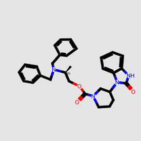 C[C@@H](COC(=O)N1CCCC(n2c(=O)[nH]c3ccccc32)C1)N(Cc1ccccc1)Cc1ccccc1